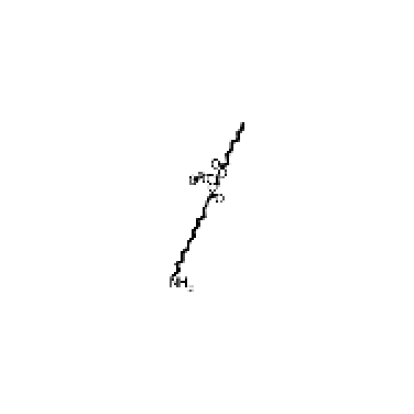 CCCCCCCCC(=O)O[C@H](COP=O)COC(=O)CCCCCCCCCCCCCCCN